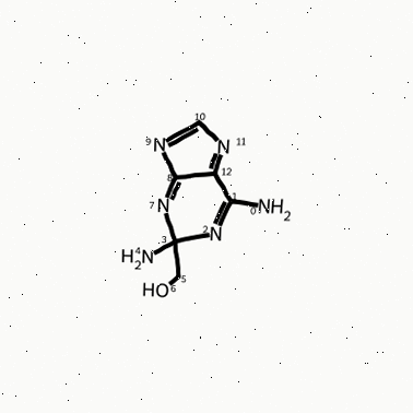 NC1=NC(N)(CO)N=C2N=CN=C12